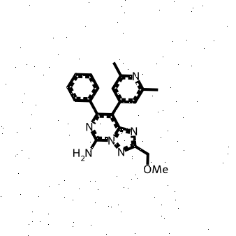 COCc1nc2c(-c3cc(C)nc(C)c3)c(-c3ccccc3)nc(N)n2n1